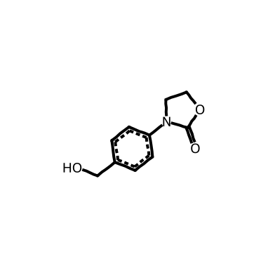 O=C1OCCN1c1ccc(CO)cc1